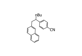 CCCCC(Cc1ccc2ccccc2c1)c1ccc(C#N)cc1